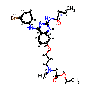 C/C=C/C(=O)Nc1nc(Nc2cccc(Br)c2)c2ccc(OCCCN(C)CC(=O)OCC)cc2n1